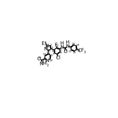 CCn1cc(-c2cc(Cl)cc(NC(=O)Nc3ccc(C(F)(F)F)cc3)c2F)c(-c2ccnc(C(N)=O)c2)n1